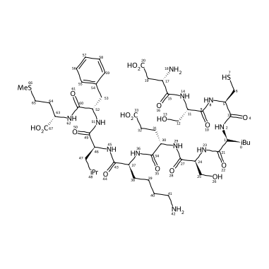 CC[C@H](C)[C@H](NC(=O)[C@H](CS)NC(=O)[C@H](CO)NC(=O)[C@@H](N)CC(=O)O)C(=O)N[C@@H](CO)C(=O)N[C@@H](CCC(=O)O)C(=O)N[C@@H](CCCCN)C(=O)N[C@@H](CC(C)C)C(=O)N[C@@H](Cc1ccccc1)C(=O)N[C@@H](CCSC)C(=O)O